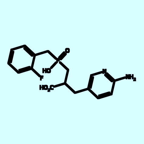 Nc1ccc(CC(CP(=O)(O)Cc2ccccc2F)C(=O)O)cn1